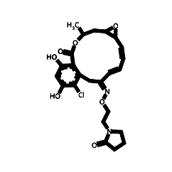 CC1CC2OC2/C=C\C=C\C(=NOCCN2CCCC2=O)Cc2c(Cl)c(O)cc(O)c2C(=O)O1